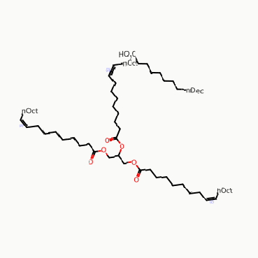 CCCCCCCC/C=C\CCCCCCCC(=O)OCC(COC(=O)CCCCCCC/C=C\CCCCCCCC)OC(=O)CCCCCCC/C=C\CCCCCCCC.CCCCCCCCCCCCCCCCCC(=O)O